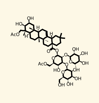 CC(=O)OC[C@H]1O[C@@H](OC(=O)[C@]23CCC(C)(C)C[C@H]2C2=CC[C@@H]4[C@@]5(C)C[C@H](O)[C@H](O)[C@@](C)(COC(C)=O)[C@@H]5CC[C@@]4(C)[C@]2(C)CC3)[C@H](O[C@@H]2O[C@@H](C)[C@H](O)[C@@H](O)[C@H]2O)[C@@H](O[C@@H]2O[C@H](CO)[C@@H](O)[C@H](O)[C@H]2O)[C@@H]1O